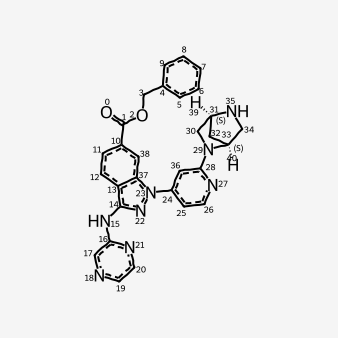 O=C(OCc1ccccc1)c1ccc2c(Nc3cnccn3)nn(-c3ccnc(N4C[C@@H]5C[C@H]4CN5)c3)c2c1